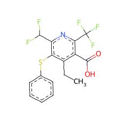 CCc1c(Sc2ccccc2)c(C(F)F)nc(C(F)(F)F)c1C(=O)O